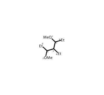 CCC(OC)C(CC)C(CC)OC